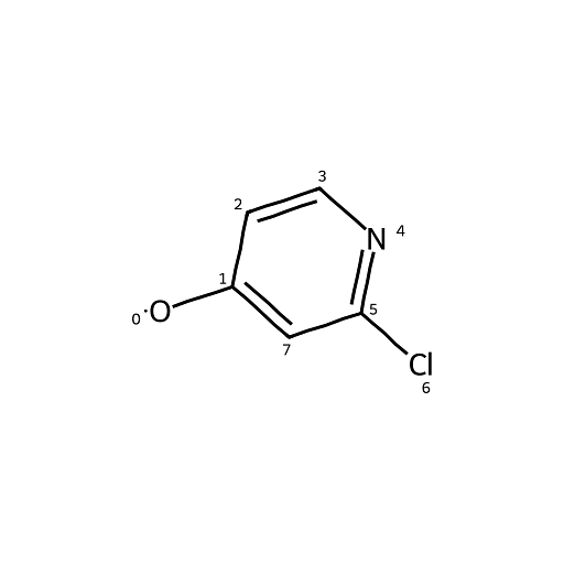 [O]c1ccnc(Cl)c1